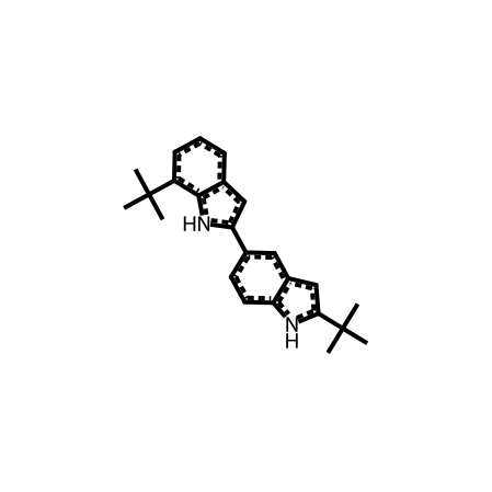 CC(C)(C)c1cc2cc(-c3cc4cccc(C(C)(C)C)c4[nH]3)ccc2[nH]1